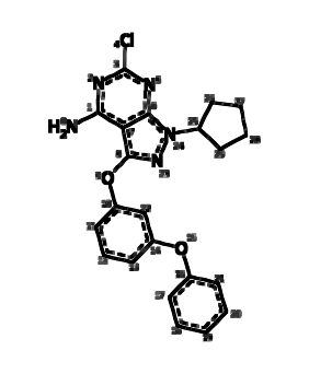 Nc1nc(Cl)nc2c1c(Oc1cccc(Oc3ccccc3)c1)nn2C1CCCC1